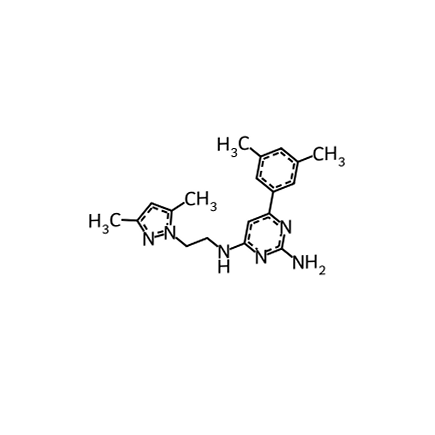 Cc1cc(C)cc(-c2cc(NCCn3nc(C)cc3C)nc(N)n2)c1